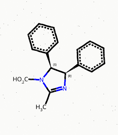 CC1=N[C@H](c2ccccc2)[C@H](c2ccccc2)N1C(=O)O